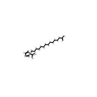 CC(C)CCCCCCCCCCCCC[N+]1(C(C)C)C=CN=C1